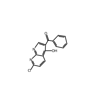 O=C(c1ccccc1)c1cnc2nc(Cl)ccc2c1O